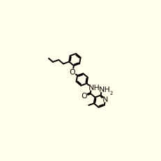 CCCCc1ccccc1Oc1ccc(NC(=O)c2c(C)ccnc2N)cc1